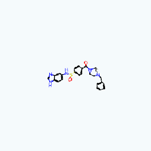 O=C(c1ccc([S+]([O-])Nc2ccc3[nH]cnc3c2)cc1)N1CCN(Cc2ccccc2)CC1